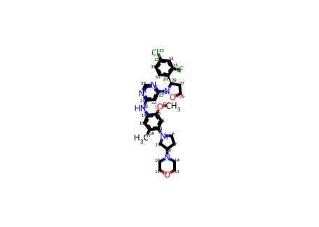 COc1cc(N2CCC(N3CCOCC3)C2)c(C)cc1Nc1cc(N2OCC[C@@H]2c2ccc(Cl)cc2F)ncn1